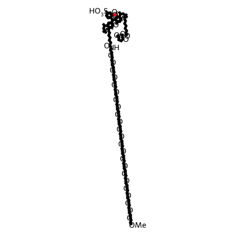 COCCOCCOCCOCCOCCOCCOCCOCCOCCOCCOCCOCCOCCOCCOCCOCCOCCOCCOCCOCCOCCOCCOCCOCCNC(=O)CCCCC[N+]1=c2cc3c(cc2C(C)CC1(C)C)=C(c1ccc(S(=O)(=O)O)cc1S(=O)(=O)[O-])c1cc2c(cc1O3)N(CCCCCC(=O)ON1C(=O)CCC1=O)C(C)(C)CC2C